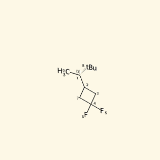 C[C@@H](C1CC(F)(F)C1)C(C)(C)C